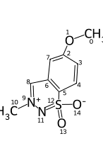 COc1ccc2c(c1)C=[N+](C)N=S2(=O)[O-]